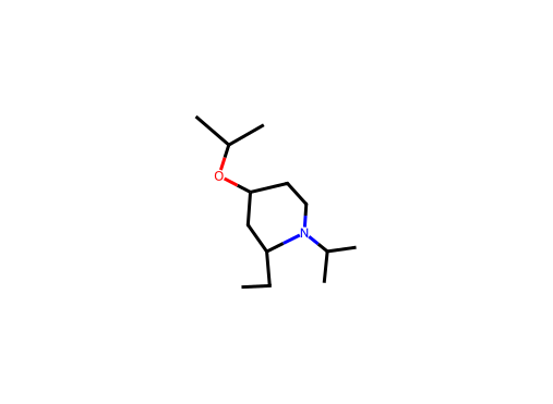 CCC1CC(OC(C)C)CCN1C(C)C